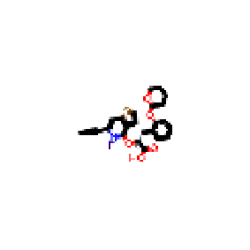 CC#CC1=Cc2sccc2C(O[C@H](Cc2ccccc2OC2CCCCO2)C(=O)O)N1I